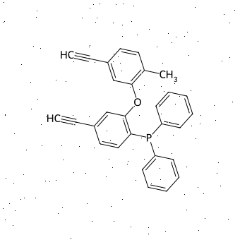 C#Cc1ccc(C)c(Oc2cc(C#C)ccc2P(c2ccccc2)c2ccccc2)c1